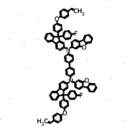 C=Cc1ccc(Oc2ccc(C3(c4ccc(F)cc4)c4ccccc4-c4ccc(N(c5ccc(-c6ccc(N(c7ccc8c(c7)C(c7ccc(F)cc7)(c7ccc(Oc9ccc(C=C)cc9)cc7)c7ccccc7-8)c7ccc8c(c7)oc7ccccc78)cc6)cc5)c5ccc6c(c5)oc5ccccc56)cc43)cc2)cc1